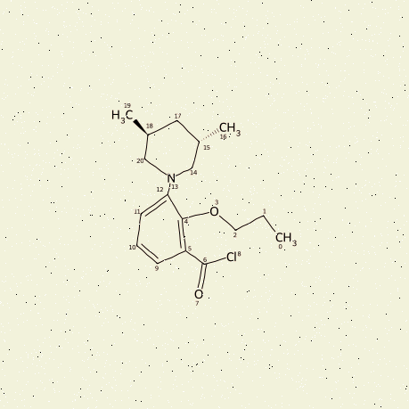 CCCOc1c(C(=O)Cl)cccc1N1C[C@@H](C)C[C@H](C)C1